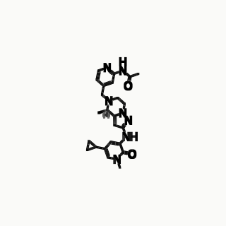 CC(=O)Nc1cc(CN2CCn3nc(Nc4cc(C5CC5)cn(C)c4=O)cc3[C@H]2C)ccn1